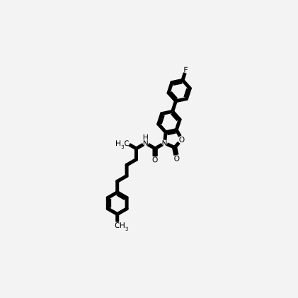 CC1C=CC(CCCCC(C)NC(=O)n2c(=O)oc3cc(-c4ccc(F)cc4)ccc32)=CC1